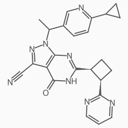 CC(c1ccc(C2CC2)nc1)n1nc(C#N)c2c(=O)[nH]c([C@H]3CC[C@H]3c3ncccn3)nc21